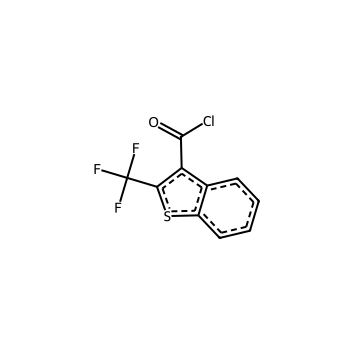 O=C(Cl)c1c(C(F)(F)F)sc2ccccc12